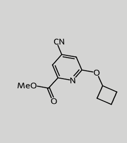 COC(=O)c1cc(C#N)cc(OC2CCC2)n1